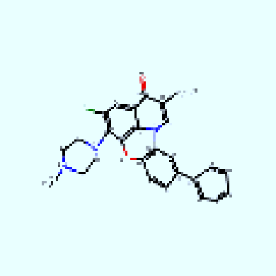 CN1CCN(c2c(F)cc3c(=O)c(C(=O)O)cn4c3c2Oc2ccc(-c3ccccc3)cc2-4)CC1